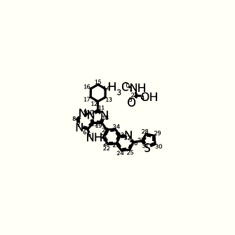 CNC(=O)O.Nc1ncnn2c(C3CCCCC3)nc(-c3ccc4ccc(-c5cccs5)nc4c3)c12